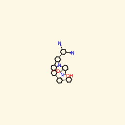 N#Cc1cc(C#N)cc(-c2ccc3c4ccccc4n(-c4cccc5c4C(=O)N(c4c(-c6ccccc6)cccc4-c4ccccc4)C5O)c3c2)c1